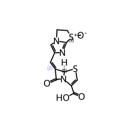 O=C(O)C1=CS[C@@H]2/C(=C\c3cn4c(n3)[S@+]([O-])CC4)C(=O)N12